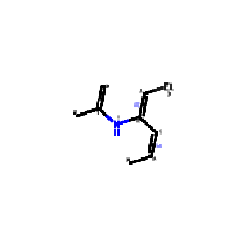 C=C(C)NC(/C=C\C)=C/CC